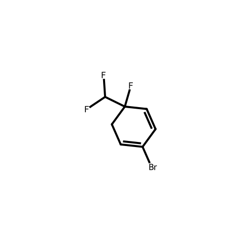 FC(F)C1(F)C=CC(Br)=CC1